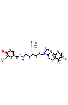 CCCN(CCCCCCNCCc1ccc(O)c(N)c1)C1CCc2c(ccc(O)c2O)C1.Cl.Cl.Cl